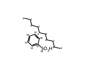 CCCCCCCCCC.O=S(=O)(O)c1ccccc1